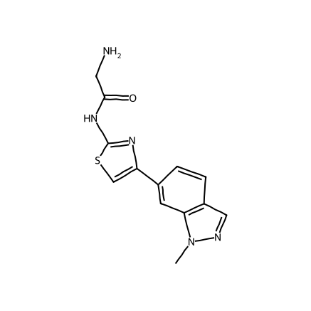 Cn1ncc2ccc(-c3csc(NC(=O)CN)n3)cc21